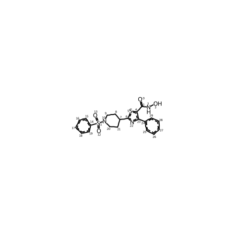 O=C(NO)c1sc(C2CCN(S(=O)(=O)c3ccccc3)CC2)nc1-c1ccccc1